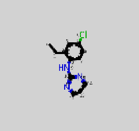 CCc1cc(Cl)ccc1Nc1ncccn1